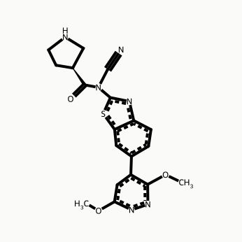 COc1cc(-c2ccc3nc(N(C#N)C(=O)[C@H]4CCNC4)sc3c2)c(OC)nn1